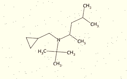 CC(C)CC(C)N(CC1CC1)C(C)(C)C